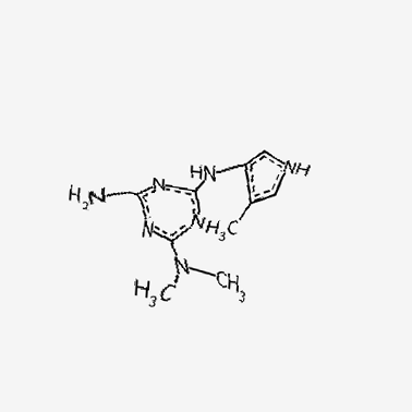 Cc1c[nH]cc1Nc1nc(N)nc(N(C)C)n1